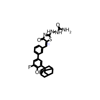 NC(=O)NNC1=NC(=O)/C(=C\c2cccc(-c3cc(F)c(O)c(C45CC6CC(CC(C6)C4)C5)c3)c2)S1